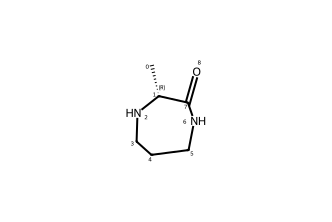 C[C@H]1NCCCNC1=O